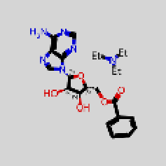 CCN(CC)CC.Nc1ncnc2c1ncn2[C@@H]1O[C@H](COC(=O)c2ccccc2)[C@@H](O)[C@H]1O